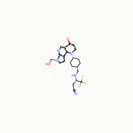 N#CC[C@@H](NC[C@H]1CC[C@H](n2ccc(=O)c3cnc4c(ccn4CO)c32)CC1)C(F)(F)F